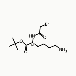 CC(C)(C)OC(=O)[C@H](CCCCN)NC(=O)CBr